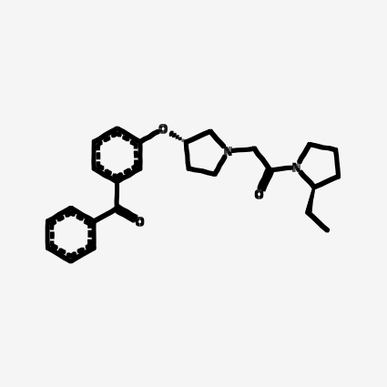 CC[C@@H]1CCCN1C(=O)CN1CC[C@H](Oc2cccc(C(=O)c3ccccc3)c2)C1